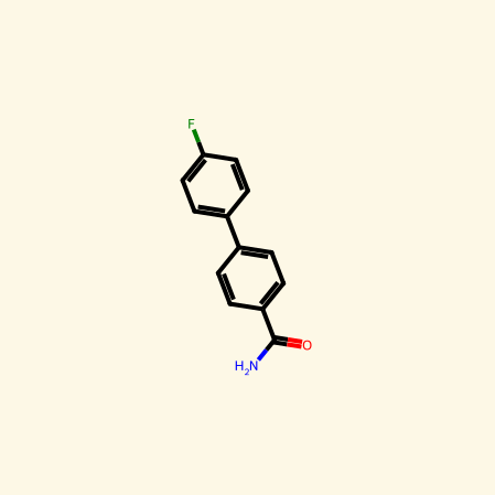 NC(=O)c1ccc(-c2ccc(F)cc2)cc1